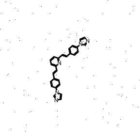 C(=C\c1cccc(/C=C/c2ccc(-n3ccnc3)cc2)n1)/c1ccc(-n2ccnc2)cc1